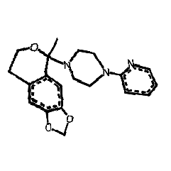 CC1(N2CCN(c3ccccn3)CC2)OCCc2cc3c(cc21)OCO3